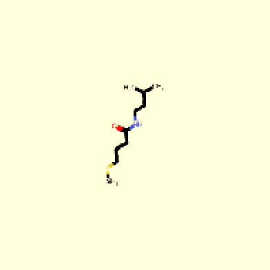 CC(C)CCNC(=O)CCCS[SiH3]